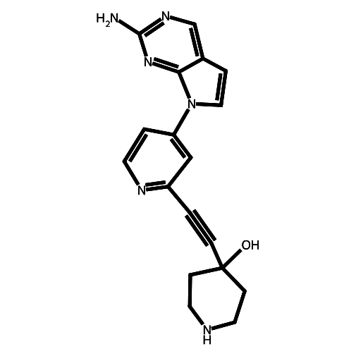 Nc1ncc2ccn(-c3ccnc(C#CC4(O)CCNCC4)c3)c2n1